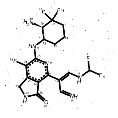 N=C/C(=C\NC(F)F)c1nc(NC2CCCC(F)(F)[C@@H]2N)c(F)c2c1C(=O)NC2